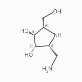 NC[C@@H]1N[C@H](CO)[C@H](O)[C@H]1O